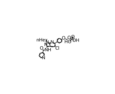 CCCCCCn1nc(NC(=O)c2cccnc2)c2cc(Cl)c(-c3ccc(OCOP(=O)(O)O)cc3)nc21